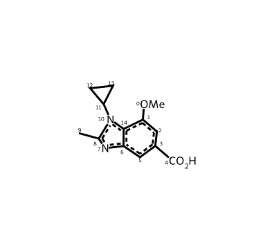 COc1cc(C(=O)O)cc2nc(C)n(C3CC3)c12